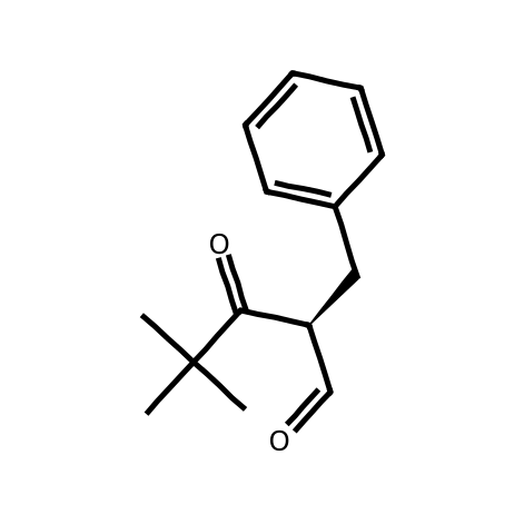 CC(C)(C)C(=O)[C@H](C=O)Cc1ccccc1